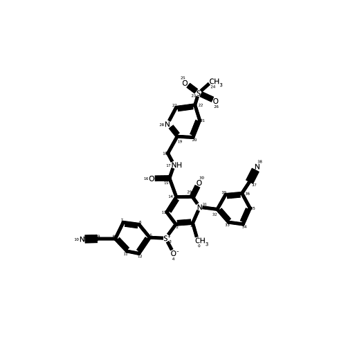 Cc1c([S+]([O-])c2ccc(C#N)cc2)cc(C(=O)NCc2ccc(S(C)(=O)=O)cn2)c(=O)n1-c1cccc(C#N)c1